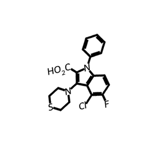 O=C(O)c1c(N2CCSCC2)c2c(Cl)c(F)ccc2n1-c1ccccc1